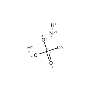 O=P([O-])([O-])[O-].[H+].[H+].[Ni+2]